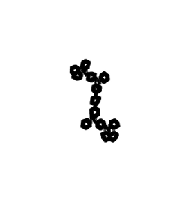 c1ccc(N(c2ccc(-c3ccc(-c4ccc(N(c5ccccc5)c5ccc(N(c6ccccc6)c6cccc7ccccc67)cc5)cc4)cc3)cc2)c2ccc(N(c3ccccc3)c3cccc4ccccc34)cc2)cc1